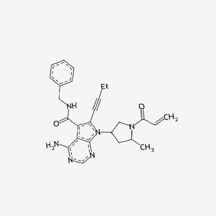 C=CC(=O)N1CC(n2c(C#CCC)c(C(=O)NCc3ccccc3)c3c(N)ncnc32)CC1C